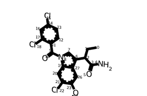 CCC(C(N)=O)c1cn(C(=O)c2ccc(Cl)cc2Cl)c2cc(Cl)c(OC)cc12